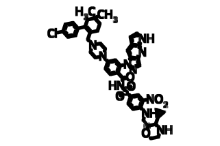 CC1(C)CCC(CN2CCN(c3ccc(C(=O)NS(=O)(=O)c4ccc(NC[C@@H]5OCCNC5C5=CC5)c([N+](=O)[O-])c4)c(-n4ncc5nc6[nH]ccc6cc54)c3)CC2)=C(c2ccc(Cl)cc2)C1